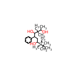 CC(O)C(C)(C)C(O)C(CC(O)[Si](C)(C)C(C)(C)C)c1ccccc1